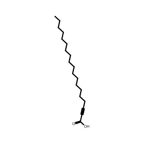 CCCCCCCCCCCCCCCCC#CC(=O)O